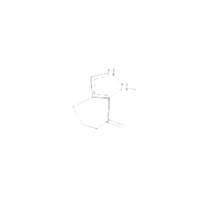 C=C1CCCc2cnn(C)c21